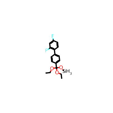 CCOC(O[SiH3])(OCC)c1ccc(-c2ccc(F)cc2F)cc1